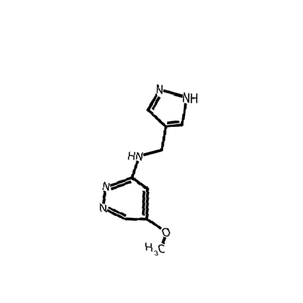 COc1cnnc(NCc2cn[nH]c2)c1